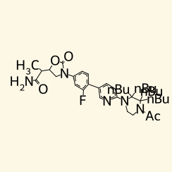 CCCCC1(CCCC)N(C(C)=O)CCN(c2ccc(-c3ccc(N4CC(C(C)C(N)=O)OC4=O)cc3F)cn2)C1(CCCC)CCCC